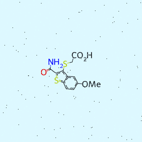 COc1ccc2sc(C(N)=O)c(SCC(=O)O)c2c1